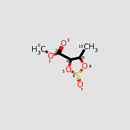 COC(=O)C1OS(=O)OC1C